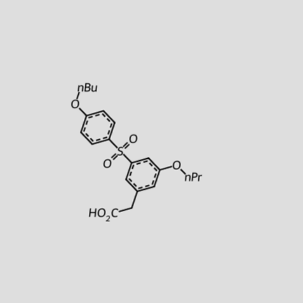 CCCCOc1ccc(S(=O)(=O)c2cc(CC(=O)O)cc(OCCC)c2)cc1